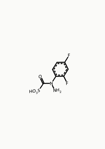 NN(C(=O)S(=O)(=O)O)c1ccc(F)cc1F